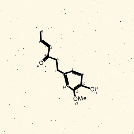 C/C=C/C(=O)CCc1ccc(O)c(OC)c1